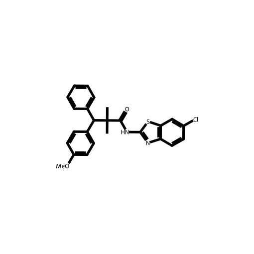 COc1ccc(C(c2ccccc2)C(C)(C)C(=O)Nc2nc3ccc(Cl)cc3s2)cc1